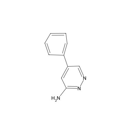 Nc1cc(-c2ccccc2)cnn1